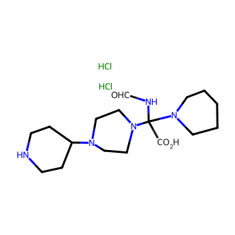 Cl.Cl.O=CNC(C(=O)O)(N1CCCCC1)N1CCN(C2CCNCC2)CC1